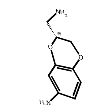 NC[C@@H]1COc2ccc(N)cc2O1